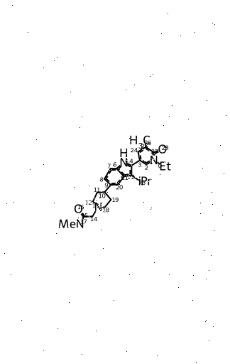 CCn1cc(-c2[nH]c3ccc(C4CCN(CC(=O)NC)CC4)cc3c2C(C)C)cc(C)c1=O